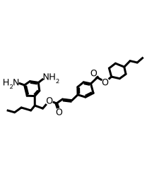 CCCCC(COC(=O)/C=C/c1ccc(C(=O)OC2CCC(CCC)CC2)cc1)c1cc(N)cc(N)c1